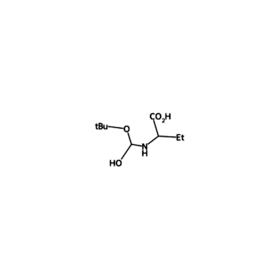 CCC(NC(O)OC(C)(C)C)C(=O)O